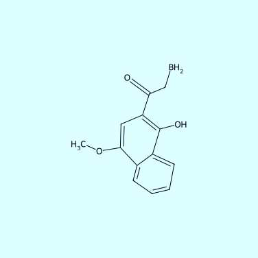 BCC(=O)c1cc(OC)c2ccccc2c1O